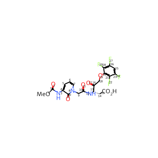 COC(=O)Nc1cccn(CC(=O)N[C@@H](CC(=O)O)C(=O)COc2c(F)c(F)cc(F)c2F)c1=O